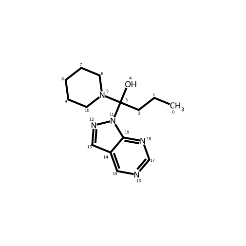 CCCC(O)(N1CCCCC1)n1ncc2cncnc21